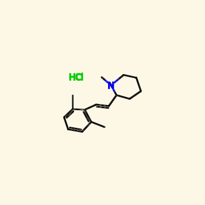 Cc1cccc(C)c1C=CC1CCCCN1C.Cl